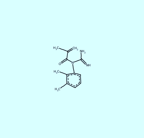 C=C(C)C(=O)N(C(=N)N)c1cccc(C)c1C